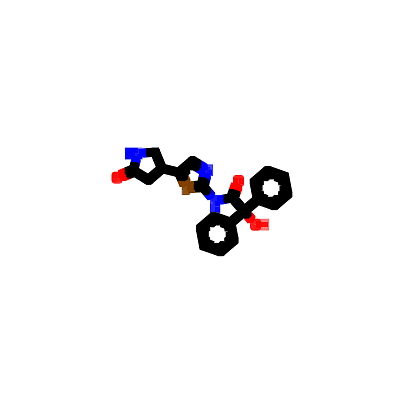 O=C1CC(c2cnc(NC(=O)C(O)(c3ccccc3)c3ccccc3)s2)CN1